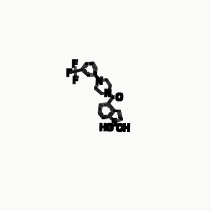 O=C(c1cccc2c1C=CS2(O)O)N1CCN(c2cccc(C(F)(F)F)c2)CC1